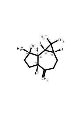 C=C1CC[C@@H]2[C@H]([C@H]3[C@H]1CC[C@]3(C)O)C2(C)C